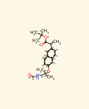 CC(C(=O)OC(C)(C)C)c1ccc2cc(OC(C)(C)CNC=O)ccc2c1